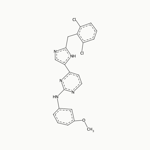 COc1cccc(Nc2nccc(-c3cnc(Cc4c(Cl)cccc4Cl)[nH]3)n2)c1